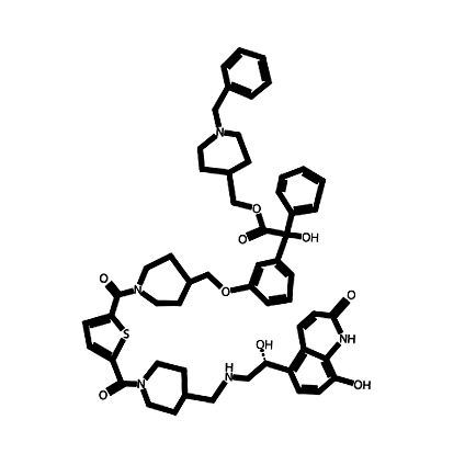 O=C(c1ccc(C(=O)N2CCC(COc3cccc(C(O)(C(=O)OCC4CCN(Cc5ccccc5)CC4)c4ccccc4)c3)CC2)s1)N1CCC(CNC[C@H](O)c2ccc(O)c3[nH]c(=O)ccc23)CC1